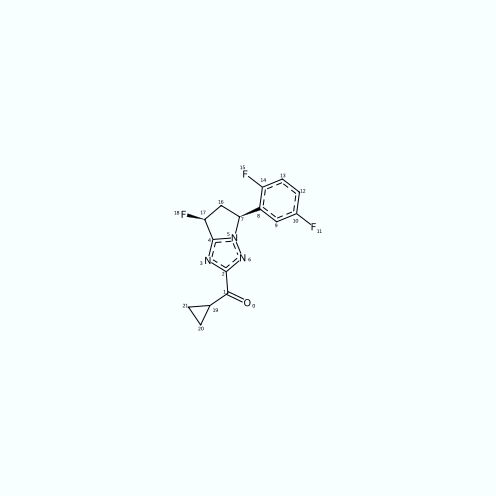 O=C(c1nc2n(n1)[C@H](c1cc(F)ccc1F)C[C@@H]2F)C1CC1